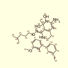 COc1cccc(-c2cc(F)ccc2[C@H]2CC3=C(C(=NOCCCC(C)C)N2)C(C)(O)N(O)C(N)=N3)n1